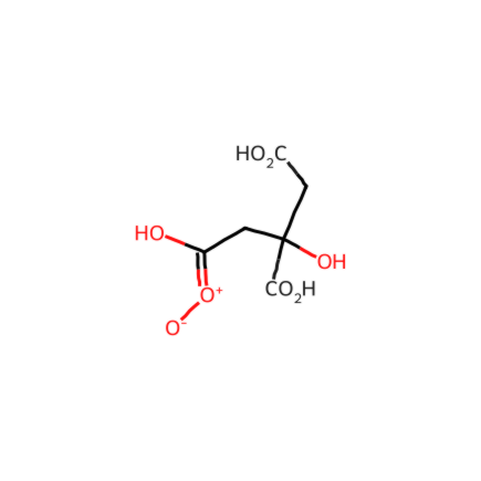 O=C(O)CC(O)(CC(O)=[O+][O-])C(=O)O